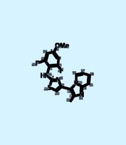 COc1cc(F)c(Nc2nc(-c3c(C)nc4ccccn34)cs2)c(F)c1